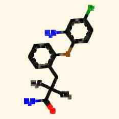 CC(C)(Cc1ccccc1Sc1ccc(Br)cc1N)C(N)=O